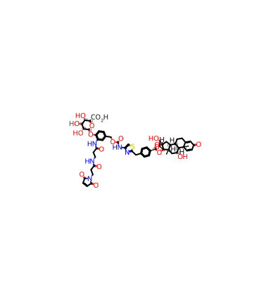 C[C@]12C=CC(=O)C=C1CC[C@@H]1[C@@H]2[C@@H](O)C[C@@]2(C)[C@H]1C[C@H]1O[C@H](c3ccc(Cc4nc(NC(=O)OCc5ccc(O[C@@H]6O[C@H](C(=O)O)[C@@H](O)[C@H](O)[C@H]6O)c(NC(=O)CCNC(=O)CCN6C(=O)C=CC6=O)c5)cs4)cc3)O[C@]12C(=O)CO